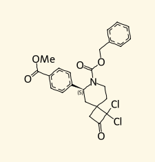 COC(=O)c1ccc([C@@H]2CC3(CCN2C(=O)OCc2ccccc2)CC(=O)C3(Cl)Cl)cc1